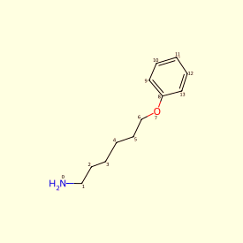 NCCCCCCOc1cc[c]cc1